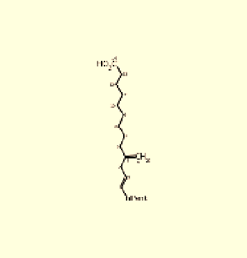 C=C(C/C=C/CCCCC)CCCCCCCCC(=O)O